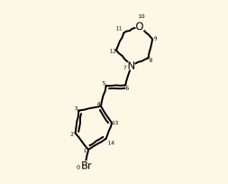 Brc1ccc(/C=C/N2CCOCC2)cc1